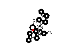 C[C@H]1CCCCC(C)(c2nc(-c3cc(C#N)ccc3-n3c4ccccc4c4c(-n5c6ccccc6c6ccccc65)cccc43)nc(-n3c4ccccc4c4c(-n5c6ccccc6c6ccccc65)cccc43)n2)C1